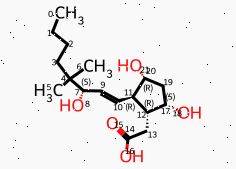 CCCCC(C)(C)[C@@H](O)C=C[C@@H]1[C@@H](CC(=O)O)[C@@H](O)C[C@H]1O